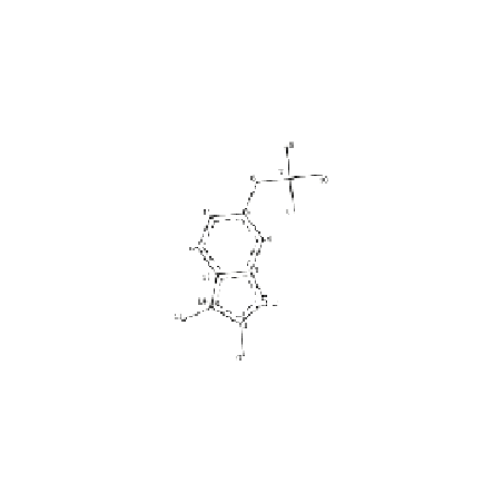 Cc1sc2cc(CC(C)(C)C)ccc2c1C